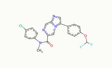 CN(C(=O)c1cn2c(-c3ccc(OC(F)F)cc3)cnc2cn1)c1ccc(Cl)cc1